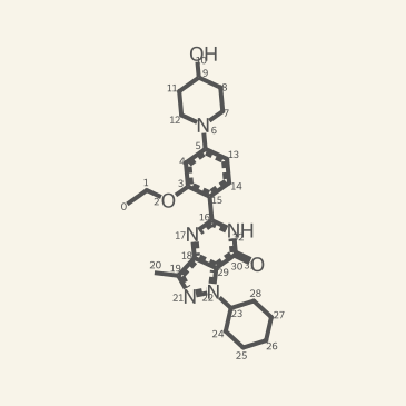 CCOc1cc(N2CCC(O)CC2)ccc1-c1nc2c(C)nn(C3CCCCC3)c2c(=O)[nH]1